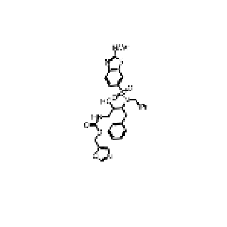 CNc1nc2ccc(S(=O)(=O)N(CC(C)C)C(Cc3ccccc3)C(O)CNC(=O)OCc3cnco3)cc2s1